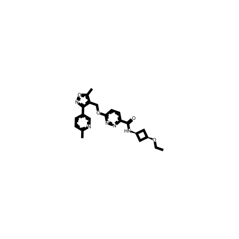 CCO[C@H]1C[C@@H](NC(=O)c2ccc(OCc3c(-c4ccc(C)nc4)noc3C)nn2)C1